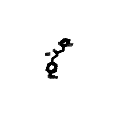 COc1ccc(CCC(=O)Cc2ncc[nH]2)cc1.Cl